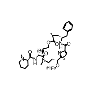 C=CCOC(=O)[C@@H](C)C[C@H](Cc1ccccc1)NC(=O)c1csc([C@@H](C[C@H](C(C)C)N(C)C(=O)[C@@H](NC(=O)[C@H]2CCCCN2C)[C@@H](C)CC)OCC)n1